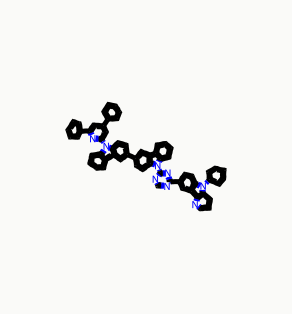 c1ccc(-c2cc(-c3ccccc3)nc(-n3c4ccccc4c4cc(-c5ccc6c(c5)c5ccccc5n6-c5ncnc(-c6ccc7c(c6)c6ncccc6n7-c6ccccc6)n5)ccc43)c2)cc1